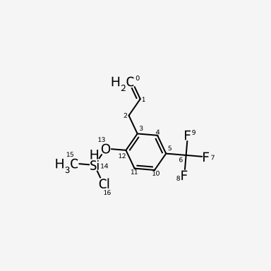 C=CCc1cc(C(F)(F)F)ccc1O[SiH](C)Cl